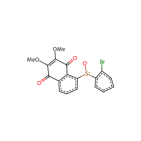 COC1=C(OC)C(=O)c2c(cccc2[S+]([O-])c2ccccc2Br)C1=O